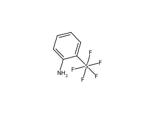 Nc1ccccc1S(F)(F)(F)(F)F